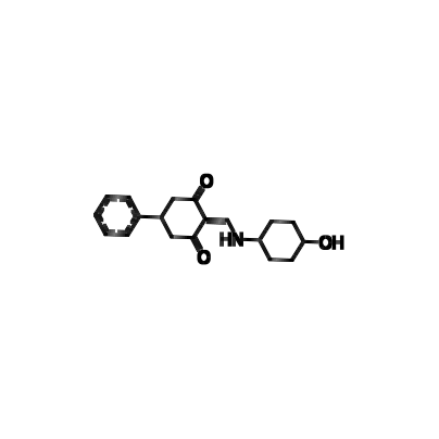 O=C1CC(c2ccccc2)CC(=O)C1=CNC1CCC(O)CC1